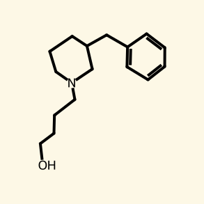 OCCCCN1CCCC(Cc2ccccc2)C1